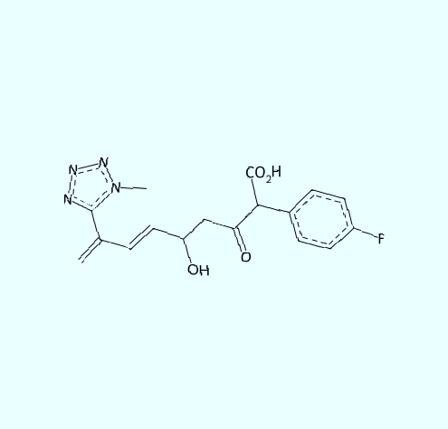 C=C(C=CC(O)CC(=O)C(C(=O)O)c1ccc(F)cc1)c1nnnn1C